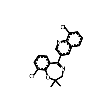 CC1(C)CN=C(c2cnc3c(Cl)cccc3c2)c2cccc(Cl)c2O1